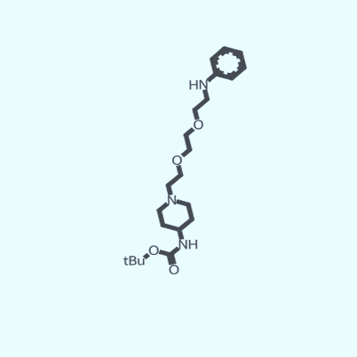 CC(C)(C)OC(=O)NC1CCN(CCOCCOCCNc2ccccc2)CC1